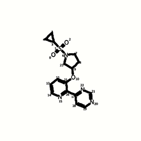 O=S(=O)(C1CC1)N1CCC(Oc2cccnc2-c2ccncn2)C1